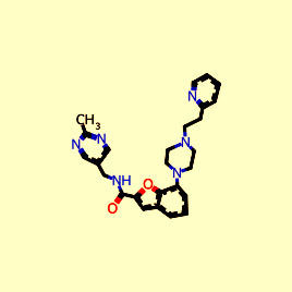 Cc1ncc(CNC(=O)c2cc3cccc(N4CCN(CCc5ccccn5)CC4)c3o2)cn1